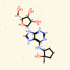 C[C@]1(O)CCCC1Nc1ncnc2c1ncn2[C@@H]1O[C@H](CO)[C@@H](O)[C@H]1O